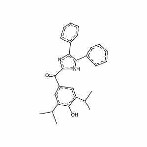 CC(C)c1cc(C(=O)c2nc(-c3ccccc3)c(-c3ccccc3)[nH]2)cc(C(C)C)c1O